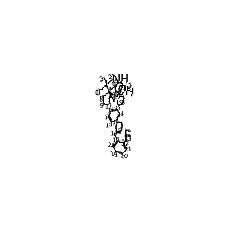 CC(C)(C)[C@]1(C(N)=O)CC[C@@H](c2ccc(OCc3ccccc3F)cc2)N1C(=O)O